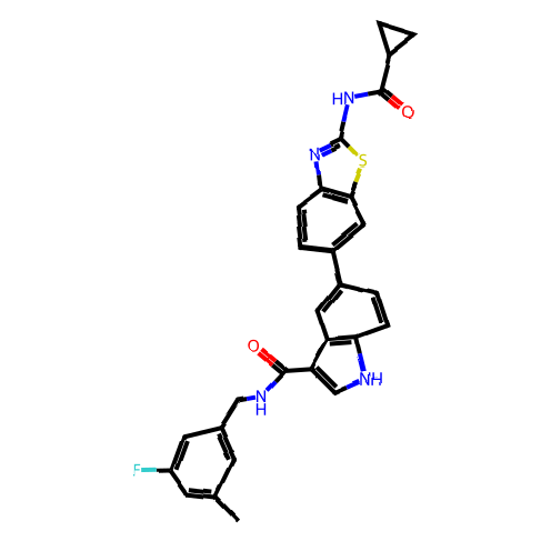 Cc1cc(F)cc(CNC(=O)c2c[nH]c3ccc(-c4ccc5nc(NC(=O)C6CC6)sc5c4)cc23)c1